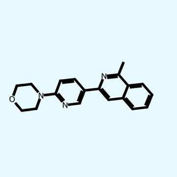 Cc1nc(-c2ccc(N3CCOCC3)nc2)cc2ccccc12